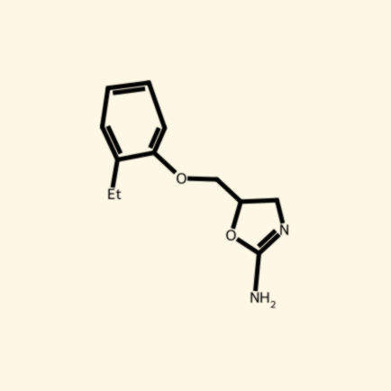 CCc1ccccc1OCC1CN=C(N)O1